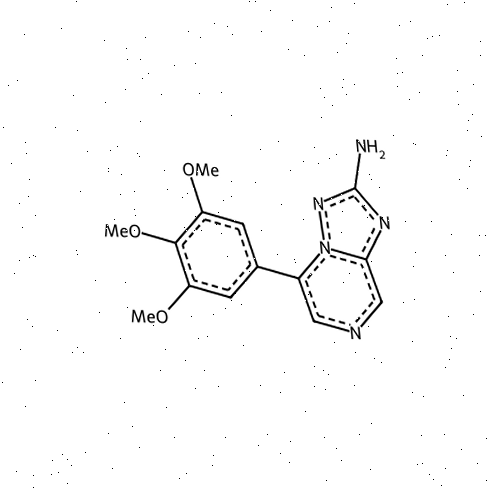 COc1cc(-c2cncc3nc(N)nn23)cc(OC)c1OC